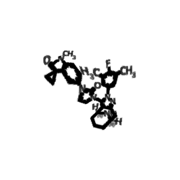 Cc1cc(-n2nc3c(c2-n2ccn(-c4ccc5c(c4)C4(CC4)C(=O)N5C)c2=O)[C@@H]2CCC[C@H](C3)N2)cc(C)c1F